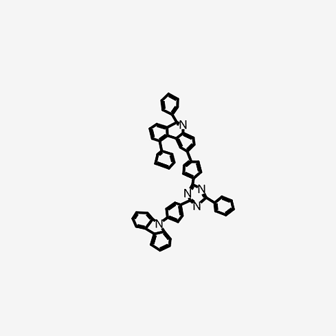 c1ccc(-c2nc(-c3ccc(-c4ccc5nc(-c6ccccc6)c6cccc(-c7ccccc7)c6c5c4)cc3)nc(-c3ccc(-n4c5ccccc5c5ccccc54)cc3)n2)cc1